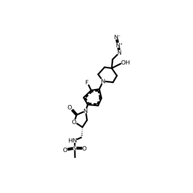 CS(=O)(=O)NC[C@H]1CN(c2ccc(N3CCC(O)(CN=[N+]=[N-])CC3)c(F)c2)C(=O)O1